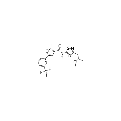 COC(C)Cc1nsc(NC(=O)c2cc(-c3cccc(C(F)(F)F)c3)oc2C)n1